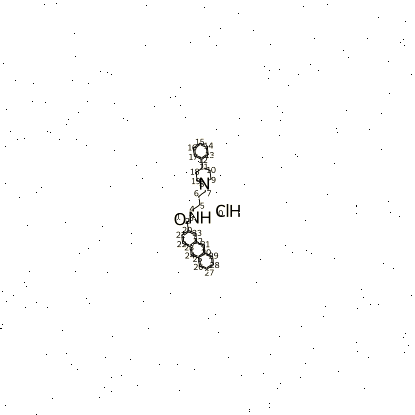 Cl.O=C(NCCCCN1CCC(c2ccccc2)CC1)c1ccc2cc3ccccc3cc2c1